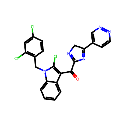 O=C(C1=NCC(c2ccnnc2)=N1)c1c(Cl)n(Cc2ccc(Cl)cc2Cl)c2ccccc12